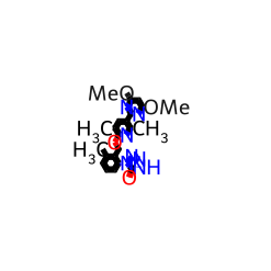 COc1cc(OC)nc(-c2cc(C)c(OCc3c(C)cccc3-n3nn[nH]c3=O)nc2C)n1